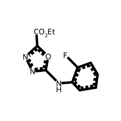 CCOC(=O)c1nnc(Nc2ccccc2F)o1